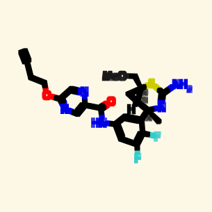 C#CCCOc1cnc(C(=O)Nc2cc(F)c(F)c([C@@]3(C)N=C(N)S[C@@]4(COC)C[C@H]43)c2)cn1